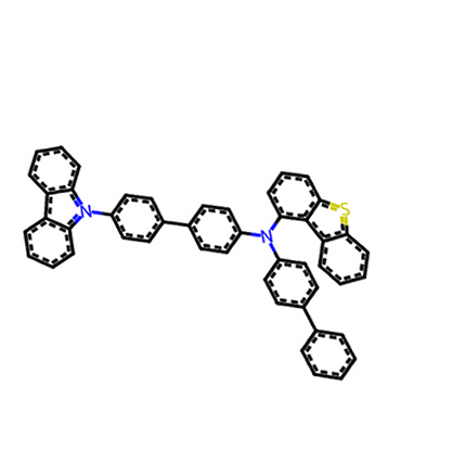 c1ccc(-c2ccc(N(c3ccc(-c4ccc(-n5c6ccccc6c6ccccc65)cc4)cc3)c3cccc4sc5ccccc5c34)cc2)cc1